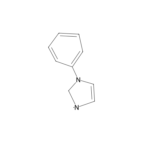 C1=CN(c2ccccc2)C[N]1